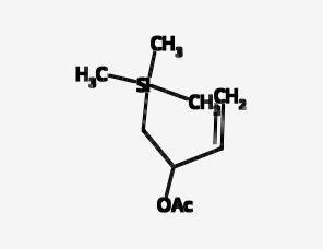 C=CC(C[Si](C)(C)C)OC(C)=O